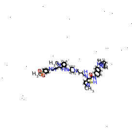 Cc1ccc2c(NCCCCN3CCC(Nc4cccc5c4cc(C#CCNc4ccc(S(C)(=O)=O)cc4)n5C)CC3)c(C(=O)N[C@H]3CCc4cc(N5C[C@H]6CC[C@@H](C5)N6)ccc4C3)sc2n1